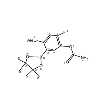 COc1cc(F)c(OC(N)=O)cc1B1OC(C)(C)C(C)(C)O1